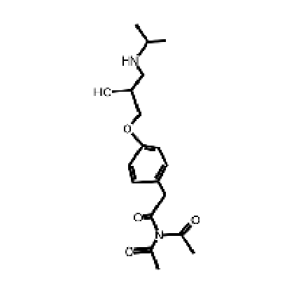 CC(=O)N(C(C)=O)C(=O)Cc1ccc(OCC(O)CNC(C)C)cc1